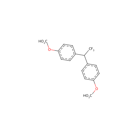 O=C(O)Oc1ccc(C(c2ccc(OC(=O)O)cc2)C(F)(F)F)cc1